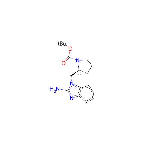 CC(C)(C)OC(=O)N1CCC[C@H]1Cn1c(N)nc2ccccc21